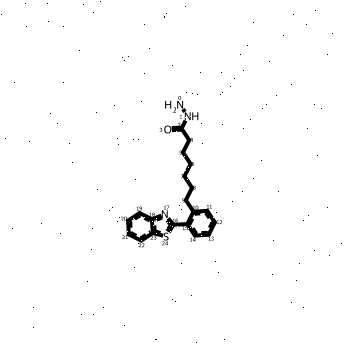 NNC(=O)CCCCCCc1ccccc1-c1nc2ccccc2s1